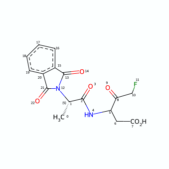 C[C@@H](C(=O)NC(CC(=O)O)C(=O)CF)N1C(=O)c2ccccc2C1=O